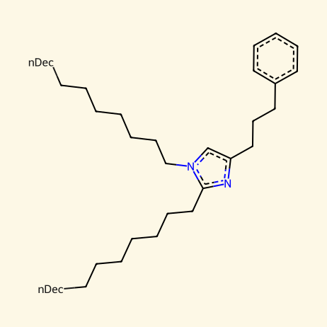 CCCCCCCCCCCCCCCCCc1nc(CCCc2ccccc2)cn1CCCCCCCCCCCCCCCCC